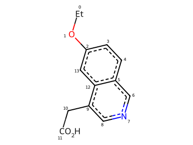 CCOc1ccc2cncc(CC(=O)O)c2c1